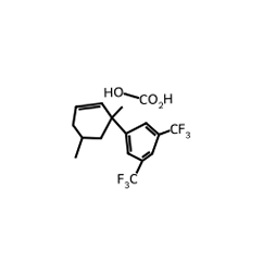 CC1CC=CC(C)(c2cc(C(F)(F)F)cc(C(F)(F)F)c2)C1.O=C(O)O